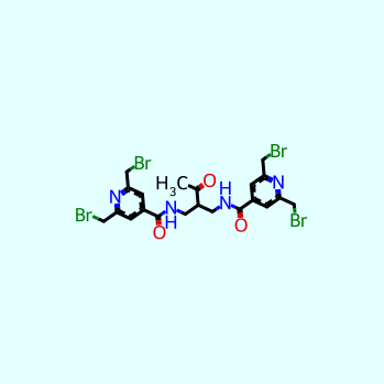 CC(=O)C(CNC(=O)c1cc(CBr)nc(CBr)c1)CNC(=O)c1cc(CBr)nc(CBr)c1